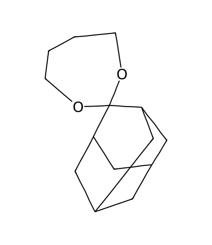 C1CCOC2(OC1)C1CC3CC(C1)CC2C3